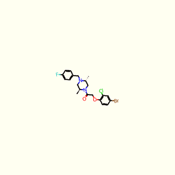 C[C@@H]1CN(C(=O)COc2ccc(Br)cc2Cl)[C@@H](C)CN1Cc1ccc(F)cc1